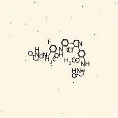 COc1cc(-c2nccc(-c3cccc(Nc4cc(F)cc(CNC[C@H]5CCC(=O)N5)c4OC)c3Cl)c2Cl)ccc1CNC[C@@H]1CCC(=O)N1